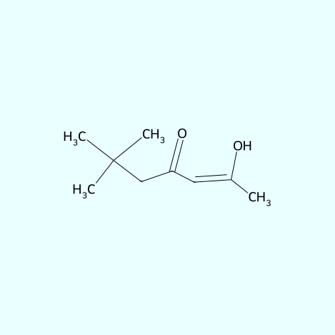 C/C(O)=C/C(=O)CC(C)(C)C